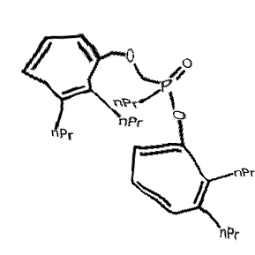 CCCc1cccc(OP(=O)(CCC)Oc2cccc(CCC)c2CCC)c1CCC